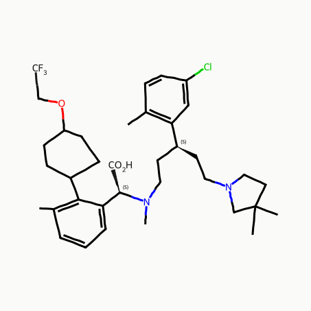 Cc1ccc(Cl)cc1[C@@H](CCN1CCC(C)(C)C1)CCN(C)[C@H](C(=O)O)c1cccc(C)c1C1CCC(OCC(F)(F)F)CC1